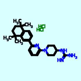 CC1(C)CCC(C)(C)c2cc(-c3cccc(N4CCC(NC(=N)N)CC4)n3)ccc21.Cl.Cl